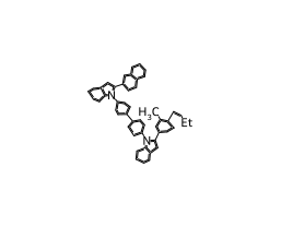 CC/C=C\c1ccc(-c2cc3ccccc3n2-c2ccc(-c3ccc(-n4c(-c5ccc6ccccc6c5)cc5ccccc54)cc3)cc2)cc1C